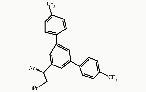 CC(=O)[C@H](CC(C)C)c1cc(-c2ccc(C(F)(F)F)cc2)cc(-c2ccc(C(F)(F)F)cc2)c1